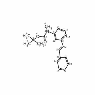 CN(C(=O)OC(C)(C)C)c1ccnc(C=Cc2ccccc2)c1